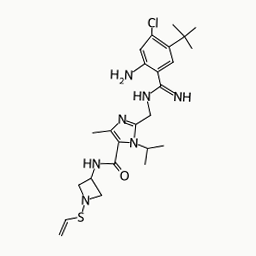 C=CSN1CC(NC(=O)c2c(C)nc(CNC(=N)c3cc(C(C)(C)C)c(Cl)cc3N)n2C(C)C)C1